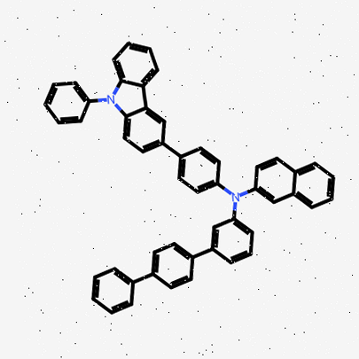 c1ccc(-c2ccc(-c3cccc(N(c4ccc(-c5ccc6c(c5)c5ccccc5n6-c5ccccc5)cc4)c4ccc5ccccc5c4)c3)cc2)cc1